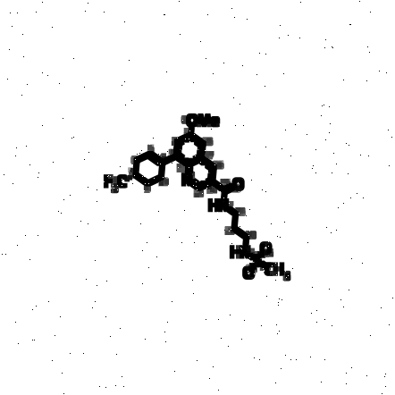 COc1cc(C2=CC[C@@H](C(F)(F)F)CC2)c2ncc(C(=O)NCCCNS(C)(=O)=O)cc2c1